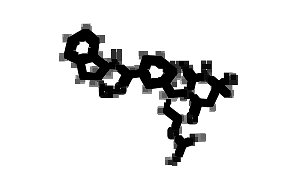 CC[C@@]1(C)CC(=O)N([C@H](CCOC(F)F)c2cccc(C(=O)N[C@@H]3c4ccccc4C[C@H]3O)c2)C(=N)N1